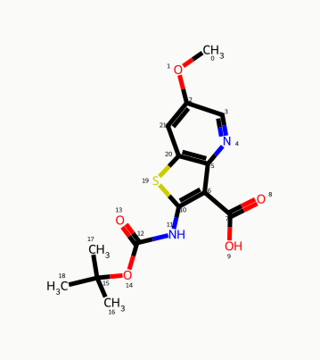 COc1cnc2c(C(=O)O)c(NC(=O)OC(C)(C)C)sc2c1